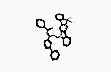 CC1(C)c2ccccc2-c2cc3c(cc21)c1ccccc1n3CN/C(=N\C(=N)c1ccccc1)c1cccc(-c2ccccc2)c1